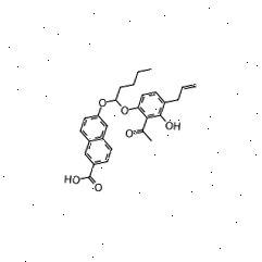 C=CCc1ccc(OC(CCCC)Oc2ccc3cc(C(=O)O)ccc3c2)c(C(C)=O)c1O